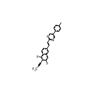 Cc1ccc(-c2cnc(/C=C/c3ccc4c(F)c(C#CC(F)(F)F)c(F)cc4c3)nc2)cc1